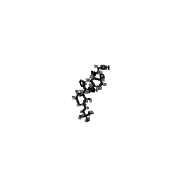 Cc1c(C=CC(F)(F)F)cccc1C(=O)Nc1ccc2oc(CO)nc2c1